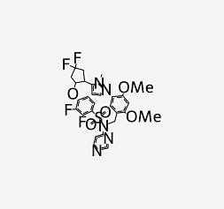 COc1ccc(CN(c2ccncn2)S(=O)(=O)c2ccc(OC3CC(F)(F)CC3c3ccnn3C)c(F)c2F)c(OC)c1